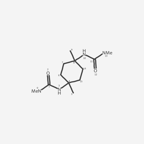 CNC(=O)NC1(C)CCC(C)(NC(=O)NC)CC1